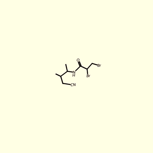 CC(CC#N)C(C)NC(=O)C(Br)CBr